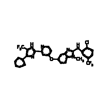 Cn1c(Nc2cc(C(F)(F)F)ccc2Cl)nc2cc(Oc3ccnc(-c4nc(-c5ccccc5)c(C(F)(F)F)[nH]4)c3)ccc21